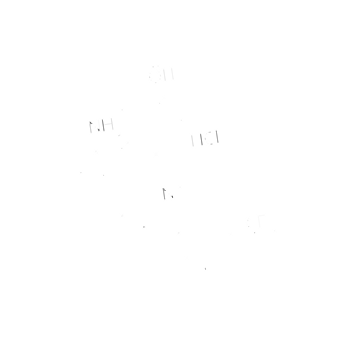 Cl.NC1CC1c1ccc(-c2cccc(C(F)(F)F)c2)nc1-c1ccc(O)cc1